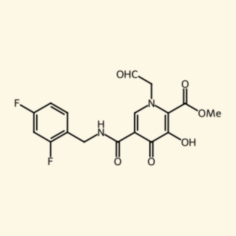 COC(=O)c1c(O)c(=O)c(C(=O)NCc2ccc(F)cc2F)cn1CC=O